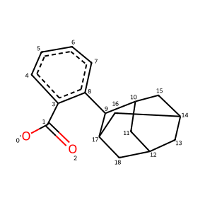 [O]C(=O)c1ccccc1C1C2CC3CC(C2)CC1C3